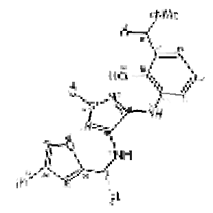 CC[C@@H](Nc1n[s+]([O-])nc1Nc1cccc(C(=O)NC)c1O)c1cc(C(C)C)co1